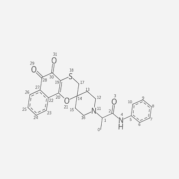 CC(C(=O)Nc1ccccc1)N1CCC2(CC1)CSC1=C(O2)c2ccccc2C(=O)C1=O